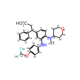 CCN(c1ccc(C(CC(=O)O)c2ccccc2)cc1Nc1ccc(OC(F)F)cc1)C1CCOCC1